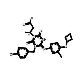 Cc1cc(/N=c2\[nH]c(=O)n([C@@H](C)CC(=O)O)c(=O)n2Cc2ccc(Cl)cc2)ccc1OC1CCC1